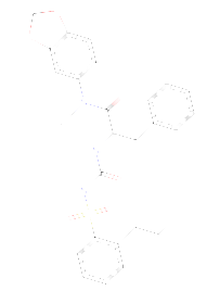 CCCc1ccccc1S(=O)(=O)NC(=O)NC(Cc1ccccc1)C(=O)N(C)c1ccc2c(c1)OCO2